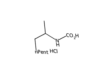 CCCCCCC(C)NC(=O)O.Cl